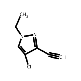 C#Cc1nn(CC)cc1Cl